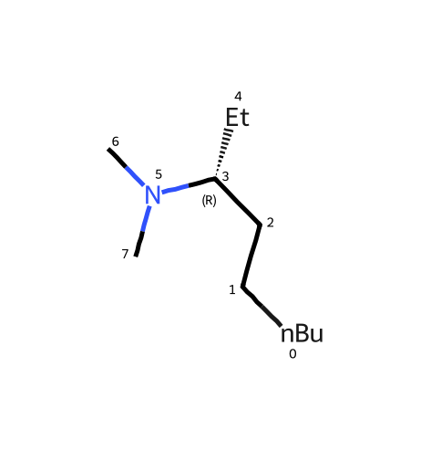 CCCCCC[C@@H](CC)N(C)C